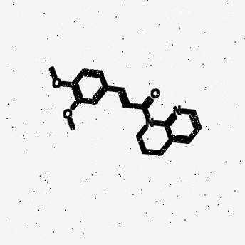 COc1ccc(/C=C/C(=O)N2CCCc3cccnc32)cc1OC